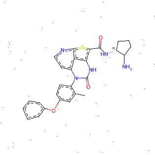 Cc1cc(Oc2ccccc2)ccc1N1C(=O)Nc2c(C(=O)N[C@@H]3CCCC3N)sc3nccc1c23